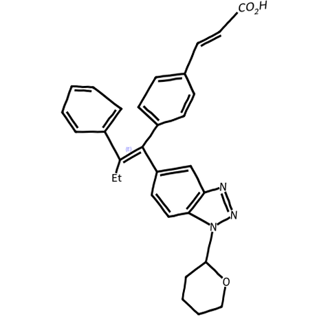 CC/C(=C(/c1ccc(C=CC(=O)O)cc1)c1ccc2c(c1)nnn2C1CCCCO1)c1ccccc1